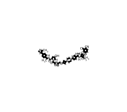 Cc1ncsc1-c1ccc([C@H](C)NC(=O)[C@@H]2C[C@@H](O)CN2C(=O)C(NC(=O)COC2CC(N3CCN(c4ccc(C(=O)N[C@H]5C(C)(C)[C@H](Oc6ccc(C#N)c(Cl)c6)C5(C)C)cn4)CC3)C2)C(C)(C)C)cc1